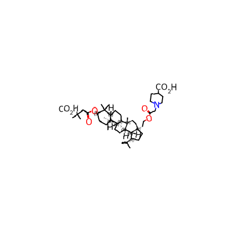 C=C(C)[C@@H]1CC[C@]2(CCOC(=O)CN3CCC(C(=O)O)CC3)CC[C@]3(C)[C@H](CC[C@@H]4[C@@]5(C)CC[C@H](OC(=O)CC(C)(C)C(=O)O)C(C)(C)[C@@H]5CC[C@]43C)[C@@H]12